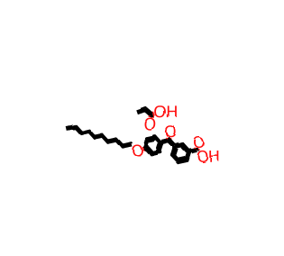 CCC(=O)O.CCCCCCCCCCOc1ccc(C(=O)c2cccc(C(=O)O)c2)cc1